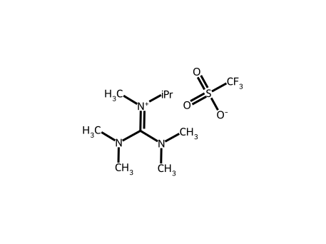 CC(C)[N+](C)=C(N(C)C)N(C)C.O=S(=O)([O-])C(F)(F)F